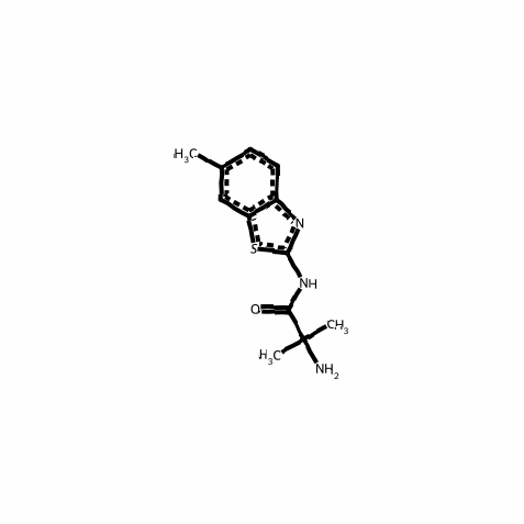 Cc1ccc2nc(NC(=O)C(C)(C)N)sc2c1